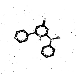 CCN(c1ccccc1)c1nc(=O)cc(-c2ccncc2)[nH]1